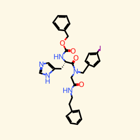 O=C(CN(Cc1ccc(I)cc1)C(=O)[C@H](Cc1cnc[nH]1)NC(=O)OCc1ccccc1)NCCc1ccccc1